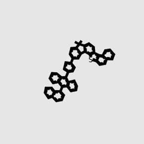 CC1(C)c2ccc(-c3ccc(-c4c5ccccc5c(-c5cccc6ccccc56)c5ccccc45)cc3)cc2-c2c1ccc1c2sc2ccc3ccccc3c21